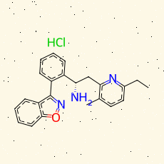 CCc1ccc(C)c(C[C@H](N)c2ccccc2-c2noc3ccccc23)n1.Cl